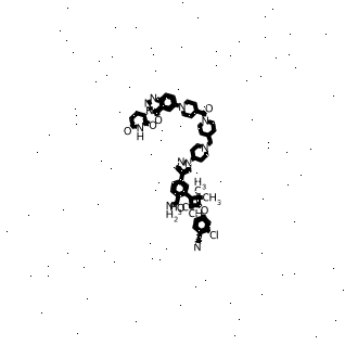 CC1(C)C(Oc2ccc(C#N)c(Cl)c2)C(C)(C)C1c1cc(-c2cnn(C3CCN(CC4CCN(C(=O)C5CCN(c6ccc7nnn([C@@H]8CCC(=O)NC8=O)c(=O)c7c6)CC5)CC4)CC3)c2)ccc1C(N)=O